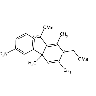 COCN1C(C)=CC(C)(c2cccc([N+](=O)[O-])c2)C(C(=O)OC)=C1C